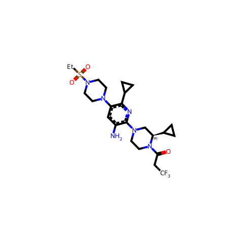 CCS(=O)(=O)N1CCN(c2cc(N)c(N3CCN(C(=O)CC(F)(F)F)[C@H](C4CC4)C3)nc2C2CC2)CC1